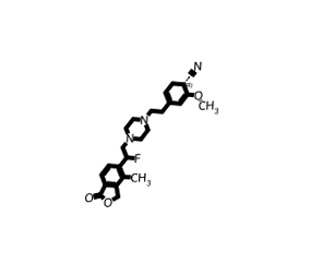 COC1=CC(CCN2CCN(CC(F)c3ccc4c(c3C)COC4=O)CC2)=CC[C@@H]1C#N